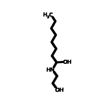 CCCCCCCC(O)NCCO